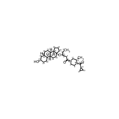 CC(CCC(=O)N1CCN(C(=O)C2CC2)[C@@H](C)C1)[C@H]1CC[C@H]2[C@@H]3CC[C@H]4C[C@@H](O)CC[C@]4(C)[C@H]3CC[C@]12C